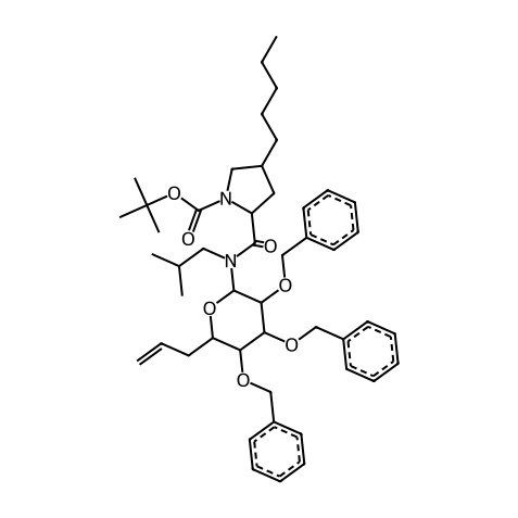 C=CCC1OC(N(CC(C)C)C(=O)C2CC(CCCCC)CN2C(=O)OC(C)(C)C)C(OCc2ccccc2)C(OCc2ccccc2)C1OCc1ccccc1